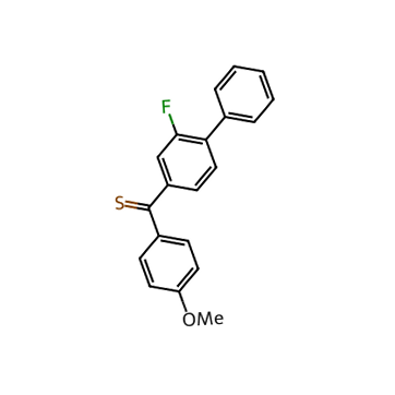 COc1ccc(C(=S)c2ccc(-c3ccccc3)c(F)c2)cc1